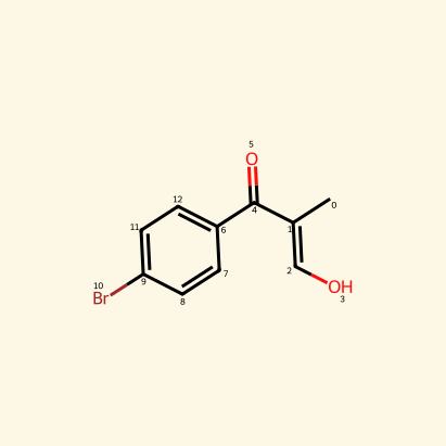 CC(=CO)C(=O)c1ccc(Br)cc1